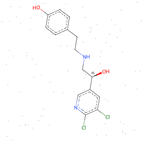 Oc1ccc(CCNC[C@@H](O)c2cnc(Cl)c(Cl)c2)cc1